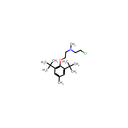 Cc1cc(C(C)(C)C)c(OCCN(C)CCCl)c(C(C)(C)C)c1